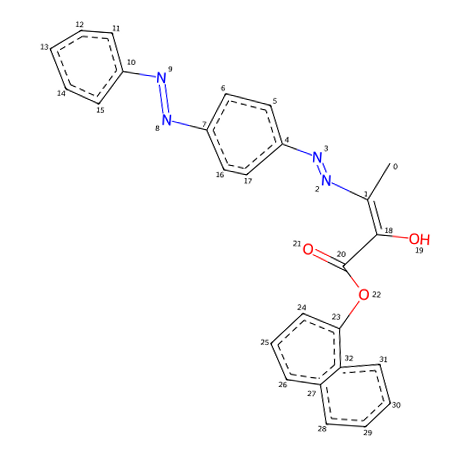 CC(N=Nc1ccc(N=Nc2ccccc2)cc1)=C(O)C(=O)Oc1cccc2ccccc12